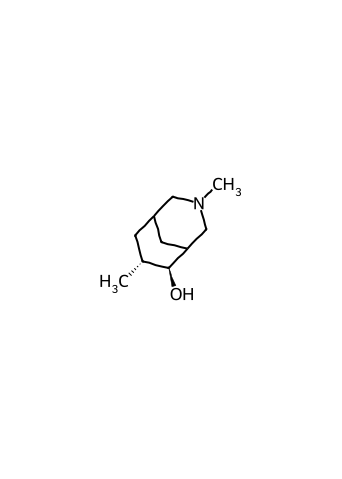 C[C@@H]1CC2CC(CN(C)C2)[C@H]1O